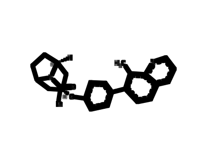 CCC(=O)N1C2CC[C@H]1C[C@H](Oc1ccc(-c3ccc4cccnc4c3C)cc1)C2